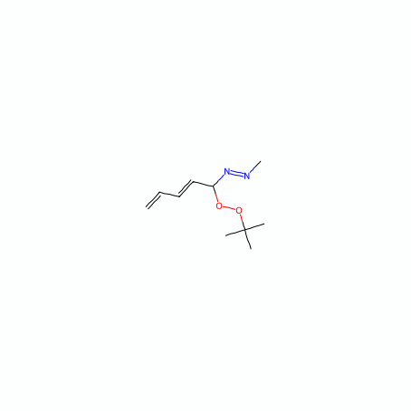 C=CC=CC(N=NC)OOC(C)(C)C